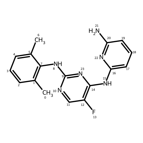 Cc1cccc(C)c1Nc1ncc(F)c(Nc2cccc(N)n2)n1